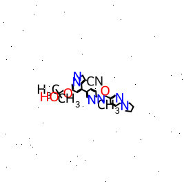 CN(C(=O)c1ccc(N2CCCC2)nc1)c1ccc(-c2cc(OCC(C)(C)O)cn3ncc(C#N)c23)cn1